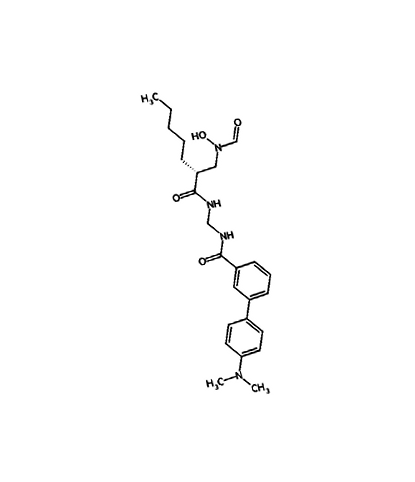 CCCCC[C@H](CN(O)C=O)C(=O)NCNC(=O)c1cccc(-c2ccc(N(C)C)cc2)c1